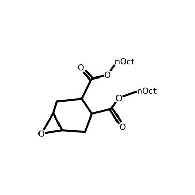 CCCCCCCCOC(=O)C1CC2OC2CC1C(=O)OCCCCCCCC